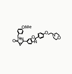 COc1ccc(CN2N=C(c3ccc4nc(-c5ccc(OCCN6CCOCC6)cc5)oc4c3)C3CC3C2=O)cc1